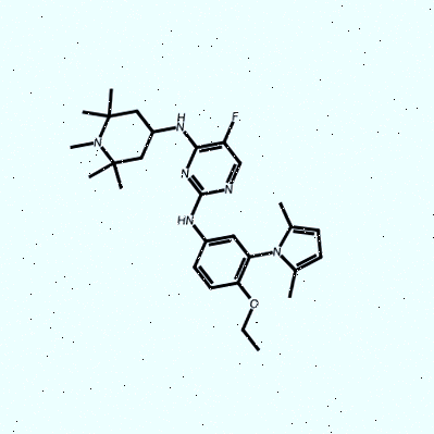 CCOc1ccc(Nc2ncc(F)c(NC3CC(C)(C)N(C)C(C)(C)C3)n2)cc1-n1c(C)ccc1C